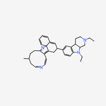 CCN1CCC2c3cc(C4C=C5C=CC=CC56N=C5CCC(C)CC=NC=CC5=C6C4)ccc3N(CC)C2C1